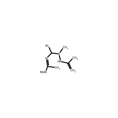 C=C(C)NN(C)C(N=C(C)NC)C(C)C